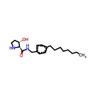 CCCCCCCCc1ccc(CNC(=O)[C@H]2NCC[C@@H]2O)cc1